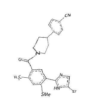 CCc1cnc(-c2cc(C(=O)N3CCC(c4ccc(C#N)cc4)CC3)c(C)cc2SC)[nH]1